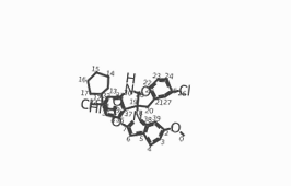 COc1ccc2cc(OC(=O)NC3CCCCC3)n(C3(Cc4cccc(Cl)c4)C(=O)Nc4cc(Cl)ccc43)c2c1